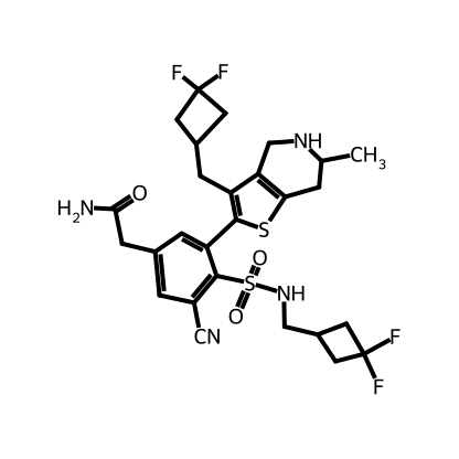 CC1Cc2sc(-c3cc(CC(N)=O)cc(C#N)c3S(=O)(=O)NCC3CC(F)(F)C3)c(CC3CC(F)(F)C3)c2CN1